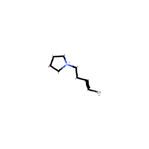 [CH2]C/C=C/CCN1CCCC1